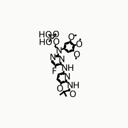 COc1cc(N(COP(=O)(O)O)c2ncc(F)c(Nc3ccc4c(n3)NC(=O)C(C)(C)O4)n2)cc(OC)c1OC